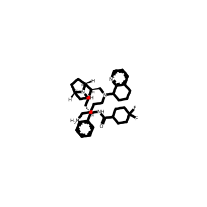 NCCCCN(C[C@H]1NC[C@@H]2CC[C@H]1N2CC[C@H](NC(=O)C1CCC(F)(F)CC1)c1ccccc1)C1CCCc2cccnc21